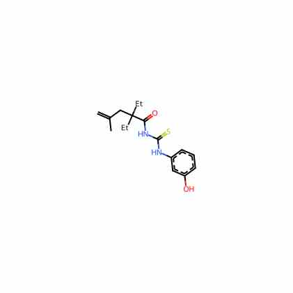 C=C(C)CC(CC)(CC)C(=O)NC(=S)Nc1cccc(O)c1